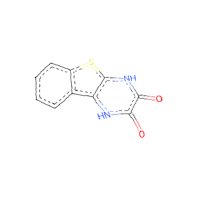 O=c1[nH]c2sc3ccccc3c2[nH]c1=O